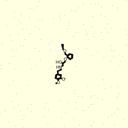 C#CCOCc1ccccc1OCC(O)CNCCc1ccc(OC)c(OC)c1